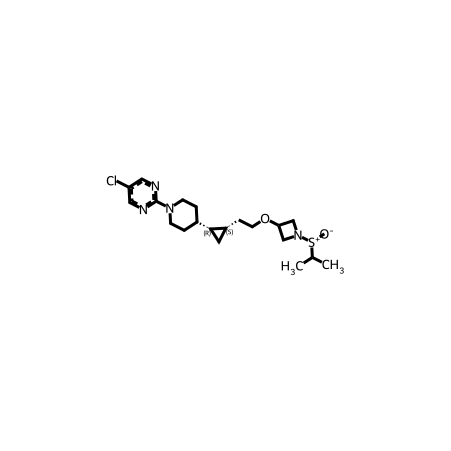 CC(C)[S+]([O-])N1CC(OCC[C@@H]2C[C@@H]2C2CCN(c3ncc(Cl)cn3)CC2)C1